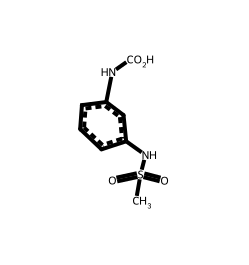 CS(=O)(=O)Nc1cccc(NC(=O)O)c1